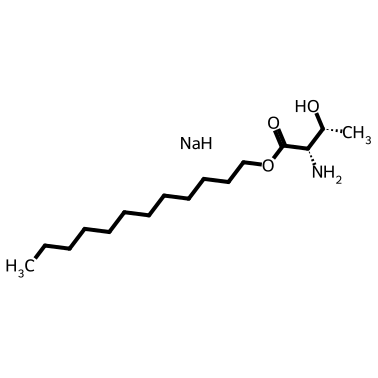 CCCCCCCCCCCCOC(=O)[C@@H](N)[C@@H](C)O.[NaH]